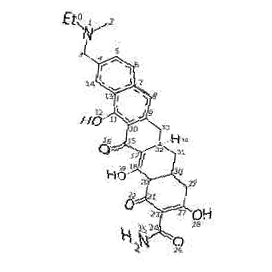 CCN(C)Cc1ccc2cc3c(c(O)c2c1)C(=O)C1=C(O)C2C(=O)C(C(N)=O)=C(O)CC2C[C@@H]1C3